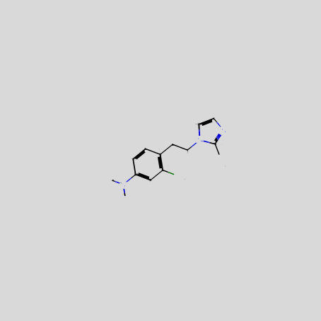 CCOC(=O)N(C)c1ccc(CCn2ccnc2C)c(Cl)c1